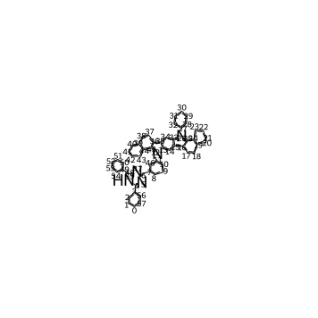 c1ccc(C2=NC(c3cccc(-n4c5cc6c7ccc8ccccc8c7n(-c7ccccc7)c6cc5c5ccc6ccccc6c54)c3)=NC(c3ccccc3)N2)cc1